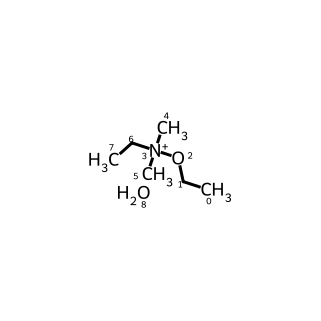 CCO[N+](C)(C)CC.O